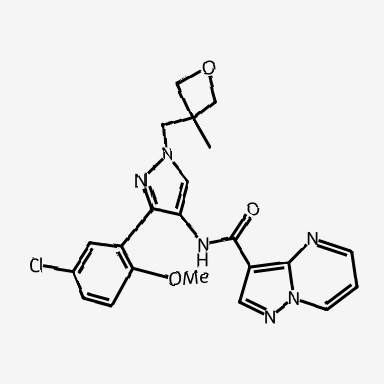 COc1ccc(Cl)cc1-c1nn(CC2(C)COC2)cc1NC(=O)c1cnn2cccnc12